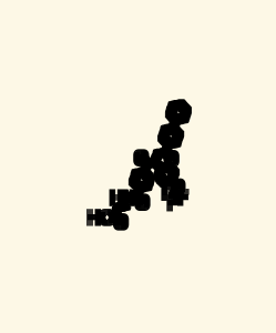 O=C(O)CCNC(=O)c1ccc(C(=O)C(CC(=O)c2ccc(-c3ccccc3)cc2)c2ccc(OC(F)(F)F)cc2)cc1